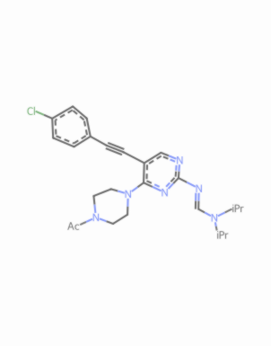 CC(=O)N1CCN(c2nc(N=CN(C(C)C)C(C)C)ncc2C#Cc2ccc(Cl)cc2)CC1